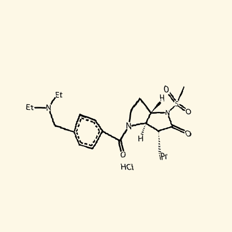 CCN(CC)Cc1ccc(C(=O)N2CC[C@H]3[C@H]2[C@@H](C(C)C)C(=O)N3S(C)(=O)=O)cc1.Cl